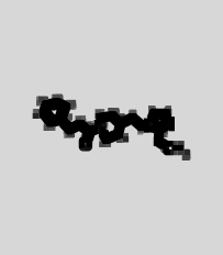 CCc1nccn1CCC1CCN(C(=O)CCc2ccccc2)CC1